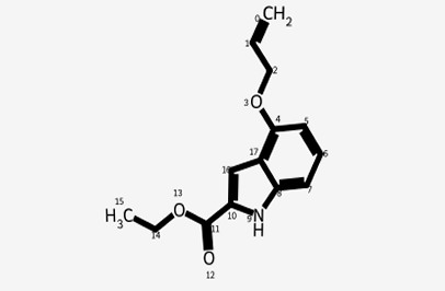 C=CCOc1cccc2[nH]c(C(=O)OCC)cc12